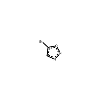 CCc1[c]nno1